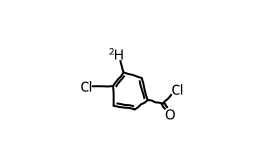 [2H]c1cc(C(=O)Cl)ccc1Cl